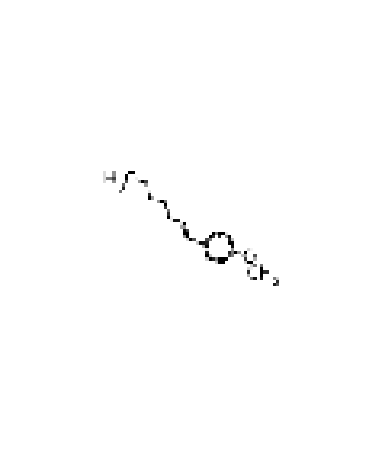 CCCCC/C=C/c1ccc(OC)cc1